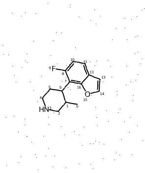 CC1CNCCC1c1c(F)ccc2ccoc12